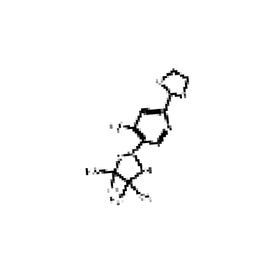 Cc1cc(C2OCCO2)ncc1B1NC(C)(C)C(C)(C)O1